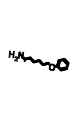 N[CH]CCCCCOc1ccccc1